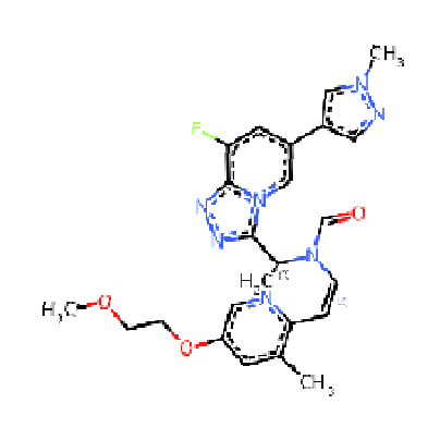 COCCOc1cnc(/C=C\N(C=O)[C@H](C)c2nnc3c(F)cc(-c4cnn(C)c4)cn23)c(C)c1